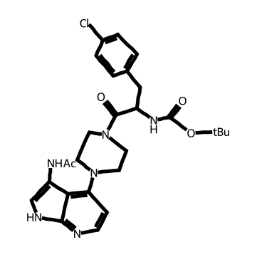 CC(=O)Nc1c[nH]c2nccc(N3CCN(C(=O)C(Cc4ccc(Cl)cc4)NC(=O)OC(C)(C)C)CC3)c12